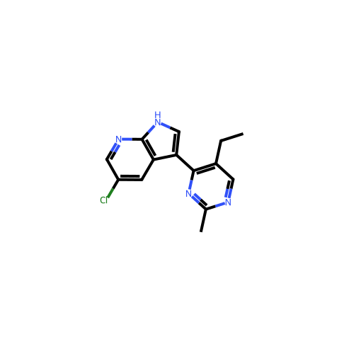 CCc1cnc(C)nc1-c1c[nH]c2ncc(Cl)cc12